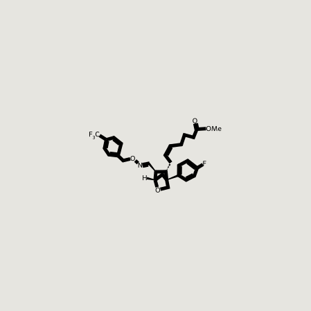 COC(=O)CCC/C=C\C[C@H]1[C@H](C=NOCc2ccc(C(F)(F)F)cc2)[C@@H]2C[C@@]1(c1ccc(F)cc1)CO2